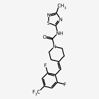 Cc1nsc(NC(=O)N2CCC(=Cc3c(F)cc(C(F)(F)F)cc3F)CC2)n1